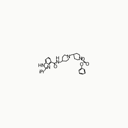 CC(C)c1nc2c(C(=O)NCC3CCN(CC4CCN(OC(=O)Oc5ccccc5)CC4)CC3)cccc2[nH]1